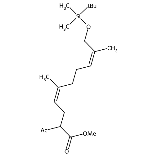 COC(=O)C(CC=C(C)CCC=C(C)CO[Si](C)(C)C(C)(C)C)C(C)=O